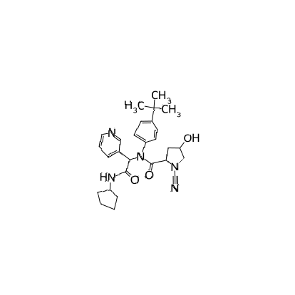 CC(C)(C)c1ccc(N(C(=O)C2CC(O)CN2C#N)C(C(=O)NC2CCCC2)c2cccnc2)cc1